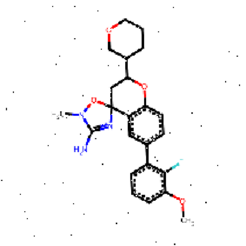 COc1cccc(-c2ccc3c(c2)C2(CC(C4CCCOC4)O3)N=C(N)N(C)O2)c1F